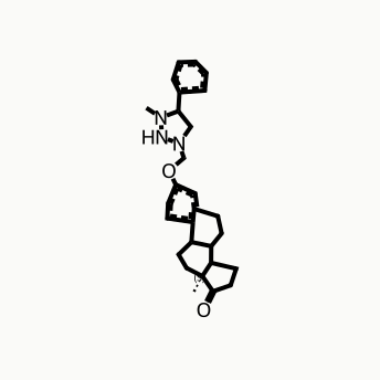 CN1NN(COc2ccc3c(c2)CCC2C3CC[C@]3(C)C(=O)CCC23)CC1c1ccccc1